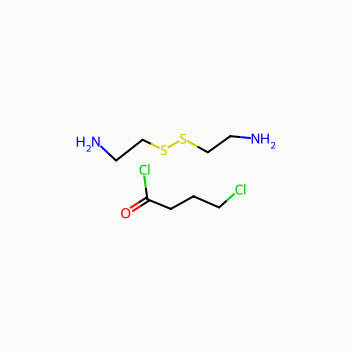 NCCSSCCN.O=C(Cl)CCCCl